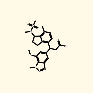 COc1cc(C(CC(=O)O)c2ccc(C)c3c2CCC3N(C)S(C)(=O)=O)cc2nnn(C)c12